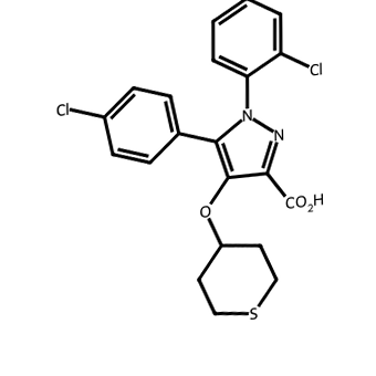 O=C(O)c1nn(-c2ccccc2Cl)c(-c2ccc(Cl)cc2)c1OC1CCSCC1